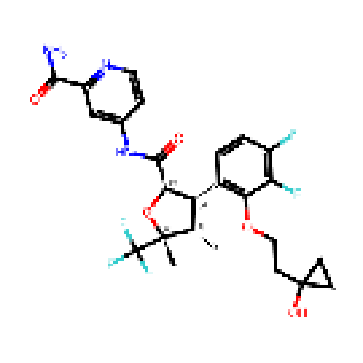 C[C@H]1[C@@H](c2ccc(F)c(F)c2OCCC2(O)CC2)[C@H](C(=O)Nc2ccnc(C(N)=O)c2)O[C@@]1(C)C(F)(F)F